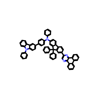 c1ccc(N(c2ccc(-c3ccc4c(c3)c3ccccc3n4-c3ccccc3)cc2)c2ccc3c(c2)C(c2ccccc2)(c2ccccc2)c2cc(-c4cnc5c6ccccc6c6ccccc6c5n4)ccc2-3)cc1